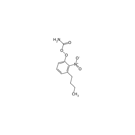 CCCCc1cccc(OOC(N)=O)c1[N+](=O)[O-]